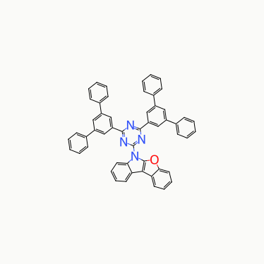 c1ccc(-c2cc(-c3ccccc3)cc(-c3nc(-c4cc(-c5ccccc5)cc(-c5ccccc5)c4)nc(-n4c5ccccc5c5c6ccccc6oc54)n3)c2)cc1